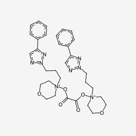 O=C(O[N+]1(CCCn2ncc(-c3ccccc3)n2)CCOCC1)C(=O)O[N+]1(CCCn2ncc(-c3ccccc3)n2)CCOCC1